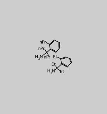 CCCc1ccccc1C(N)(CCC)CCC.CCc1ccccc1C(N)(CC)CC